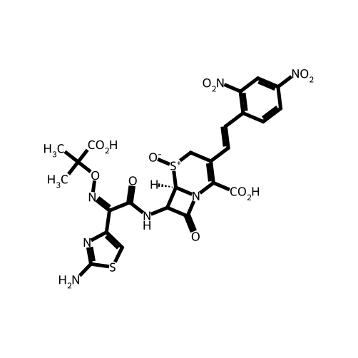 CC(C)(O/N=C(\C(=O)NC1C(=O)N2C(C(=O)O)=C(/C=C/c3ccc([N+](=O)[O-])cc3[N+](=O)[O-])C[S+]([O-])[C@H]12)c1csc(N)n1)C(=O)O